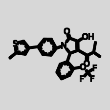 Cc1cc(-c2ccc(N3C(=O)C(O)=C(C(=O)C(C)C)C3c3ccccc3OC(F)(F)F)cc2)cs1